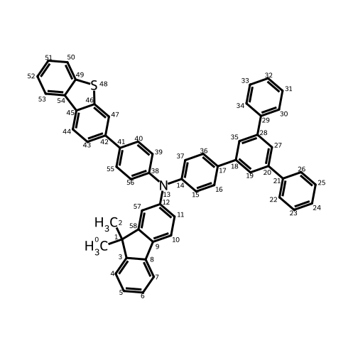 CC1(C)c2ccccc2-c2ccc(N(c3ccc(-c4cc(-c5ccccc5)cc(-c5ccccc5)c4)cc3)c3ccc(-c4ccc5c(c4)sc4ccccc45)cc3)cc21